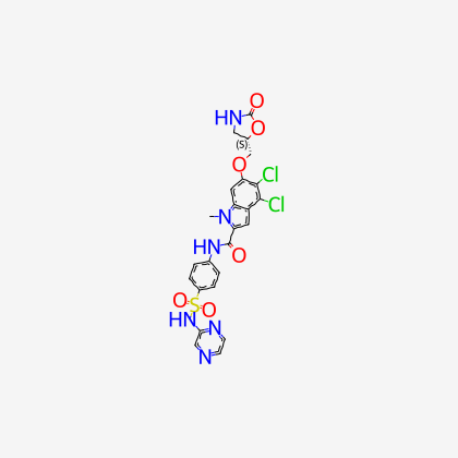 Cn1c(C(=O)Nc2ccc(S(=O)(=O)Nc3cnccn3)cc2)cc2c(Cl)c(Cl)c(OC[C@@H]3CNC(=O)O3)cc21